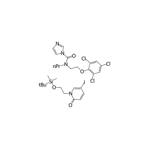 CC(C)(C)[Si](C)(C)OCCn1cc(I)ccc1=O.CCCN(CCOc1c(Cl)cc(Cl)cc1Cl)C(=O)n1ccnc1